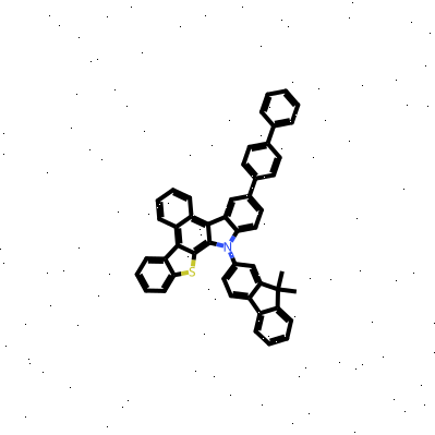 CC1(C)c2ccccc2-c2ccc(-n3c4ccc(-c5ccc(-c6ccccc6)cc5)cc4c4c5ccccc5c5c6ccccc6sc5c43)cc21